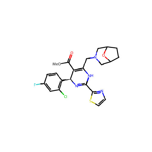 COC(=O)C1=C(CN2CC3CCC(C2)O3)NC(c2nccs2)=N[C@H]1c1ccc(F)cc1Cl